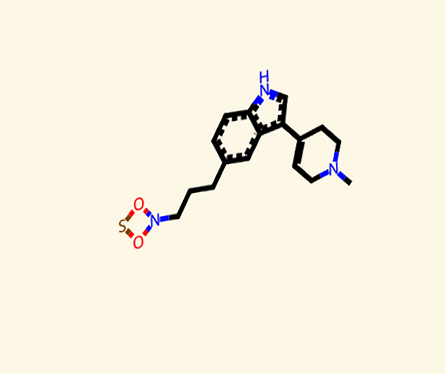 CN1CC=C(c2c[nH]c3ccc(CCCN4OSO4)cc23)CC1